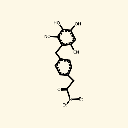 CCN(CC)C(=O)Cc1ccc(Cc2c(C#N)cc(O)c(O)c2C#N)cc1